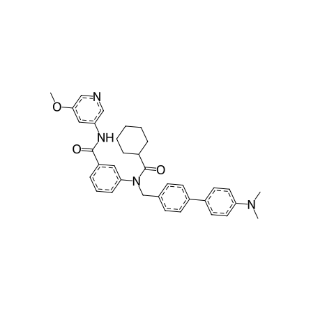 COc1cncc(NC(=O)c2cccc(N(Cc3ccc(-c4ccc(N(C)C)cc4)cc3)C(=O)C3CCCCC3)c2)c1